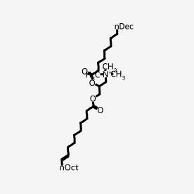 CCCCCCCC/C=C/CCCCCCCC(=O)OCC(C[N+](C)(C)C)OC(=O)CCCCCCCCCCCCCCCCC